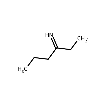 [CH2]CC(=N)CCC